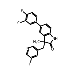 CC1(Cc2cncc(F)c2)C(=O)Nc2ccc(-c3ccc(F)c(Cl)c3)cc21